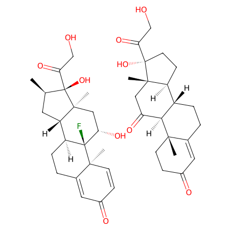 C[C@@H]1C[C@H]2[C@@H]3CCC4=CC(=O)C=C[C@]4(C)[C@@]3(F)[C@@H](O)C[C@]2(C)[C@@]1(O)C(=O)CO.C[C@]12CCC(=O)C=C1CC[C@@H]1[C@@H]2C(=O)C[C@@]2(C)[C@H]1CC[C@]2(O)C(=O)CO